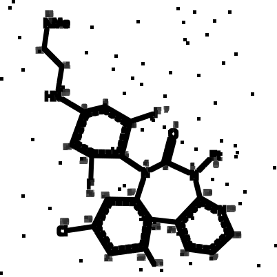 CCN1C(=O)N(c2c(F)cc(NCCNC)cc2F)c2cc(Cl)cc(C)c2-c2cccnc21